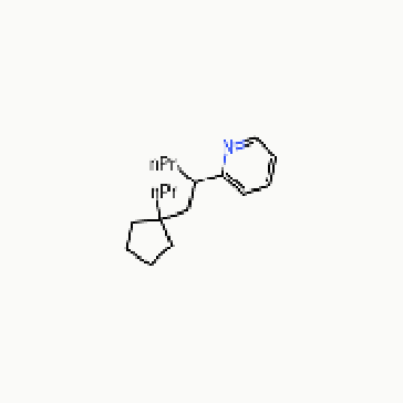 CCCC(CC1(CCC)CCCC1)c1ccccn1